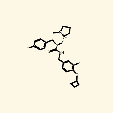 CN1CCC[C@@H]1CN(Cc1ccc(F)cc1)C(=O)NCc1ccc(OC2CCC2)c(F)c1